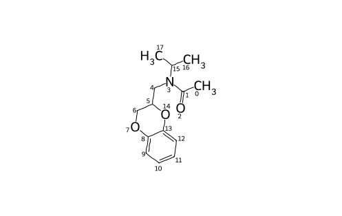 CC(=O)N(CC1COc2ccccc2O1)C(C)C